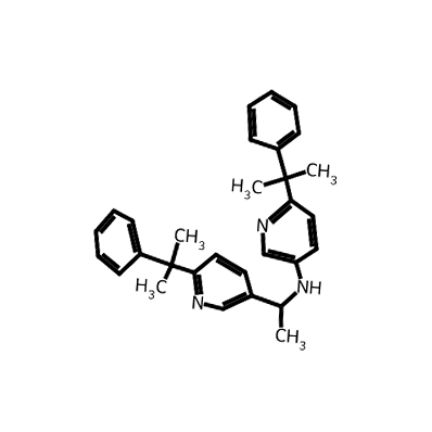 CC(Nc1ccc(C(C)(C)c2ccccc2)nc1)c1ccc(C(C)(C)c2ccccc2)nc1